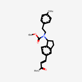 COC(=O)/C=C/c1ccc2c(c1)CCC2N(CCc1ccc(OC)cc1)C(=O)OC(C)(C)C